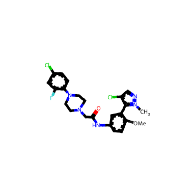 COc1ccc(NC(=O)CN2CCN(c3ccc(Cl)cc3F)CC2)cc1-c1c(Cl)cnn1C